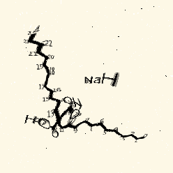 CCCCCCCCCCCCC(CCCCCCCCCCCC)(C(=O)O)C(=O)O.[NaH]